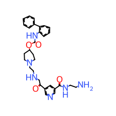 NCCNC(=O)c1cncc(C(=O)CNCCN2CCC(OC(=O)Nc3ccccc3-c3ccccc3)CC2)c1